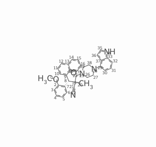 COc1ccccc1[C@H](c1cccc2ccccc12)[C@@](C)(C#N)C(=O)N1CCN(c2cccc3[nH]ccc23)CC1